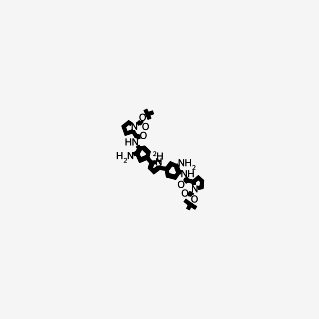 [2H]n1c(-c2ccc(NC(=O)C3CCCN3C(=O)OC(C)(C)C)c(N)c2)ccc1-c1ccc(NC(=O)C2CCCN2C(=O)OC(C)(C)C)c(N)c1